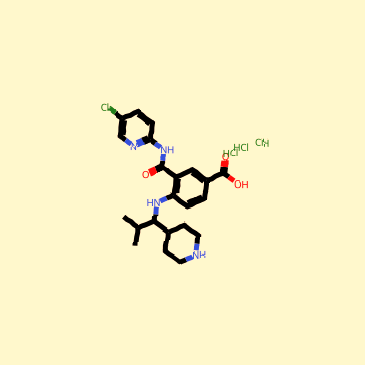 CC(C)C(Nc1ccc(C(=O)O)cc1C(=O)Nc1ccc(Cl)cn1)C1CCNCC1.Cl.Cl.Cl